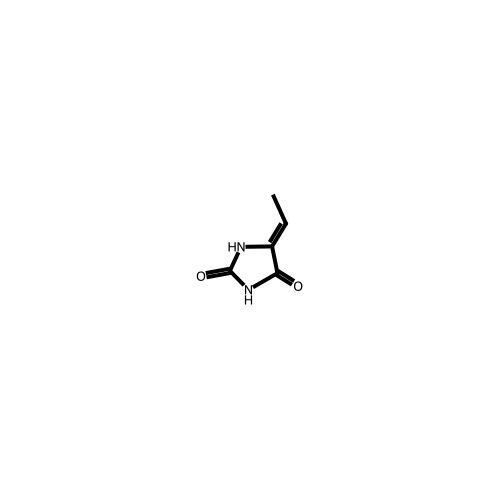 C/C=C1\NC(=O)NC1=O